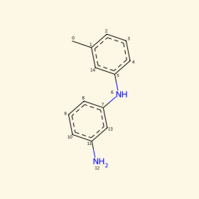 Cc1cccc(Nc2cccc(N)c2)c1